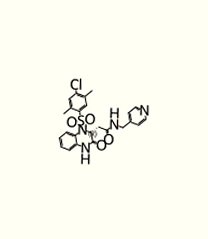 Cc1cc(S(=O)(=O)N2c3ccccc3NC(=O)[C@H]2CC(=O)NCc2ccncc2)c(C)cc1Cl